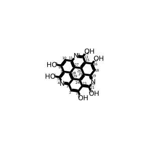 Oc1cc2nc(O)c3c(O)cc4nc(O)c5c(O)cc6nc(O)c1c1c6c5c4c3c21